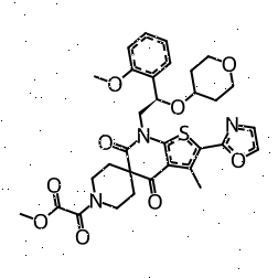 COC(=O)C(=O)N1CCC2(CC1)C(=O)c1c(sc(-c3ncco3)c1C)N(C[C@H](OC1CCOCC1)c1ccccc1OC)C2=O